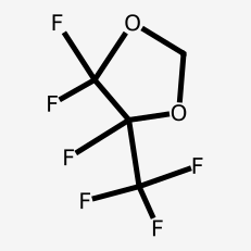 FC(F)(F)C1(F)OCOC1(F)F